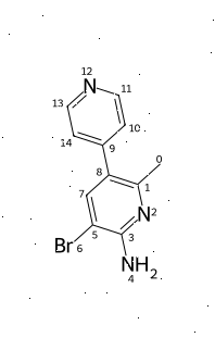 Cc1nc(N)c(Br)cc1-c1ccncc1